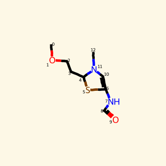 COCCC1SC(NC=O)=CN1C